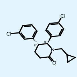 O=C1CC[C@H](c2cccc(Cl)c2)[C@@H](c2ccc(Cl)cc2)N1CC1CC1